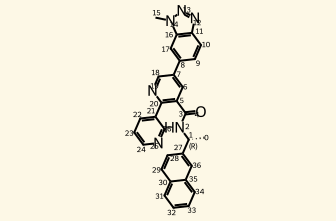 C[C@@H](NC(=O)c1cc(-c2ccc3nnn(C)c3c2)cnc1-c1cccnc1)c1ccc2ccccc2c1